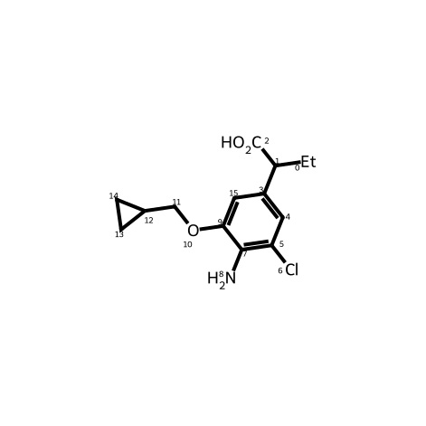 CCC(C(=O)O)c1cc(Cl)c(N)c(OCC2CC2)c1